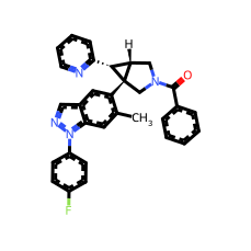 Cc1cc2c(cnn2-c2ccc(F)cc2)cc1[C@]12CN(C(=O)c3ccccc3)C[C@H]1[C@H]2c1ccccn1